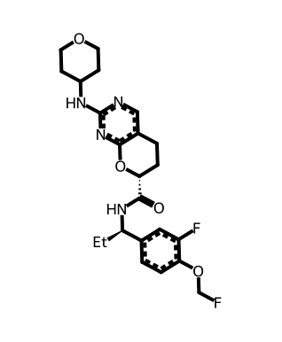 CC[C@@H](NC(=O)[C@H]1CCc2cnc(NC3CCOCC3)nc2O1)c1ccc(OCF)c(F)c1